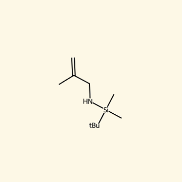 C=C(C)CN[Si](C)(C)C(C)(C)C